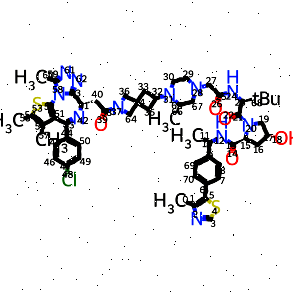 Cc1ncsc1-c1ccc(C(C)NC(=O)[C@@H]2C[C@@H](O)CN2C(=O)[C@@H](NC(=O)CN2CCN(C3CC4(C3)CN(C(=O)C[C@@H]3N=C(c5ccc(Cl)cc5)c5c(sc(C)c5C)-n5c(C)nnc53)C4)[C@@H](C)C2)C(C)(C)C)cc1